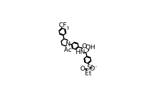 CCC(=O)[S+]([O-])c1ccc([C@H](CO)NC(=O)c2ccc(N3CC(c4ccc(C(F)(F)F)cc4)CC[C@H]3C(C)=O)cc2)cc1